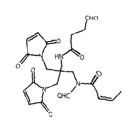 C/C=C\C(=O)N(C=O)CC(CN1C(=O)C=CC1=O)(CN1C(=O)C=CC1=O)NC(=O)CCC=O